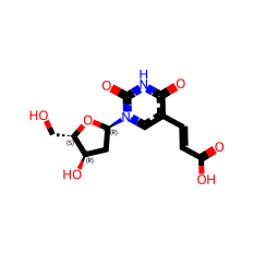 O=C(O)C=Cc1cn([C@H]2C[C@@H](O)[C@H](CO)O2)c(=O)[nH]c1=O